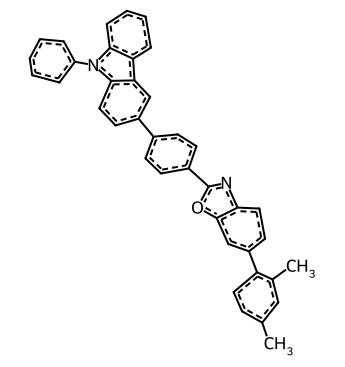 Cc1ccc(-c2ccc3nc(-c4ccc(-c5ccc6c(c5)c5ccccc5n6-c5ccccc5)cc4)oc3c2)c(C)c1